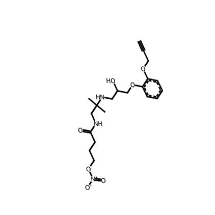 C#CCOc1ccccc1OCC(O)CNC(C)(C)CNC(=O)CCCO[N+](=O)[O-]